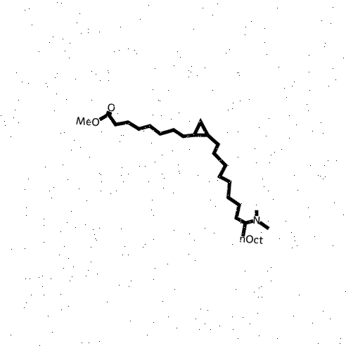 CCCCCCCCC(CCCCCCCCC1CC1CCCCCCCC(=O)OC)N(C)C